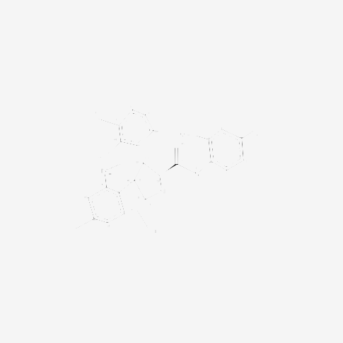 COc1cc(C(=O)O)ccc1NC(=O)[C@H]1N[C@H](CC(C)(C)C)[C@]2(CNc3cc(Cl)ccc32)[C@@H]1c1cccc(Cl)c1F